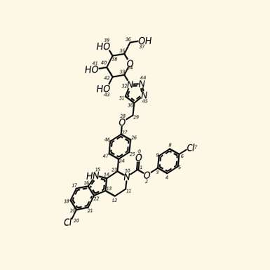 O=C(Oc1ccc(Cl)cc1)N1CCc2c([nH]c3ccc(Cl)cc23)C1c1ccc(OCc2cn(C3OC(CO)C(O)C(O)C3O)nn2)cc1